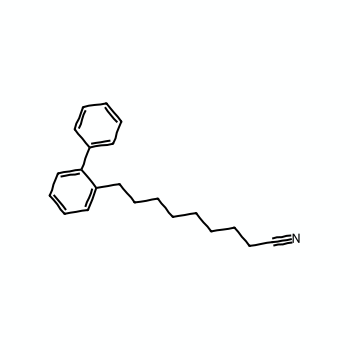 N#CCCCCCCCCc1ccccc1-c1ccccc1